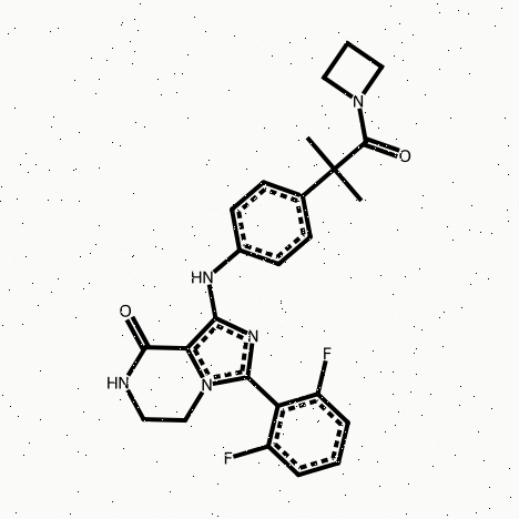 CC(C)(C(=O)N1CCC1)c1ccc(Nc2nc(-c3c(F)cccc3F)n3c2C(=O)NCC3)cc1